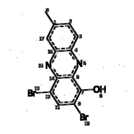 Cc1ccc2nc3c(O)c(Br)cc(Br)c3nc2c1